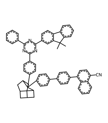 CC1(C)c2ccccc2-c2ccc(-c3nc(-c4ccccc4)nc(-c4ccc(C5(c6ccc(-c7ccc(-c8ccc(C#N)c9ccccc89)cc7)cc6)C6CC7CC8CC5C78C6)cc4)n3)cc21